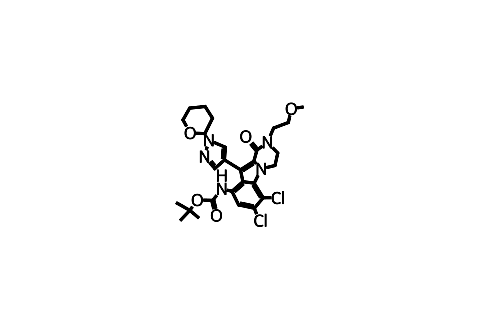 COCCN1CCn2c(c(-c3cnn(C4CCCCO4)c3)c3c(NC(=O)OC(C)(C)C)cc(Cl)c(Cl)c32)C1=O